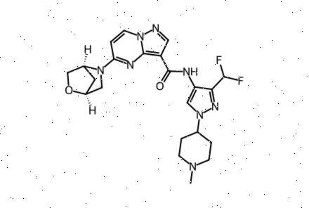 CN1CCC(n2cc(NC(=O)c3cnn4ccc(N5C[C@@H]6C[C@H]5CO6)nc34)c(C(F)F)n2)CC1